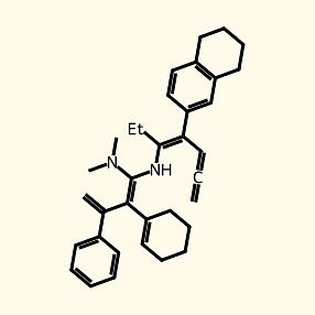 C=C=C/C(=C(/CC)N/C(=C(/C(=C)c1ccccc1)C1=CCCCC1)N(C)C)c1ccc2c(c1)CCCC2